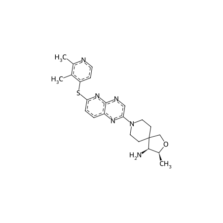 Cc1nccc(Sc2ccc3nc(N4CCC5(CC4)CO[C@@H](C)[C@H]5N)cnc3n2)c1C